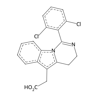 O=C(O)Cc1c2n(c3ccccc13)C(c1c(Cl)cccc1Cl)=NCC2